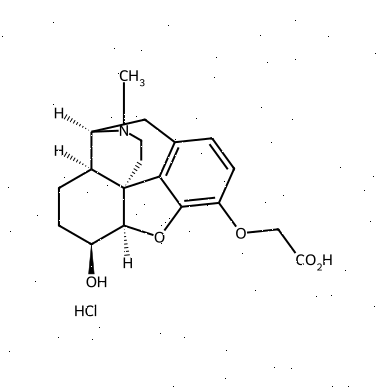 CN1CC[C@]23c4c5ccc(OCC(=O)O)c4O[C@H]2[C@@H](O)CC[C@H]3[C@H]1C5.Cl